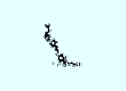 Cc1cc(OCCCC2CCN(c3noc(CCC4CC4)n3)CC2)ccc1C(=O)NCCCO